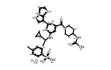 CC(Nc1cc(C(=O)N2CCC(NC(=O)O)CC2)nc(-c2cnn3ccsc23)n1)C1CC1.Cc1ccc(S(=O)(=O)O)cc1.O